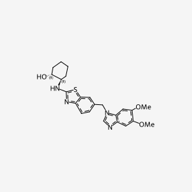 COc1cc2ncn(Cc3ccc4nc(N[C@@H]5CCCC[C@H]5O)sc4c3)c2cc1OC